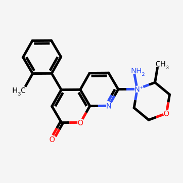 Cc1ccccc1-c1cc(=O)oc2nc([N+]3(N)CCOCC3C)ccc12